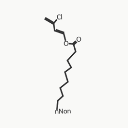 C=C(Cl)C=COC(=O)CCCCCCCCCCCCCCCCC